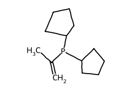 C=C(C)P(C1CCCC1)C1CCCC1